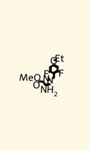 CCOc1cc(F)c(Cn2cc(N)c(C(=O)OC)n2)c(F)c1